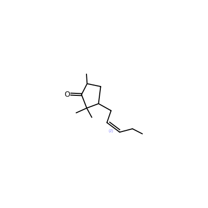 CC/C=C\CC1CC(C)C(=O)C1(C)C